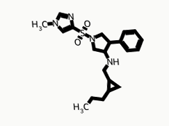 CCCC1CC1CNC1CN(S(=O)(=O)c2cn(C)cn2)CC1c1ccccc1